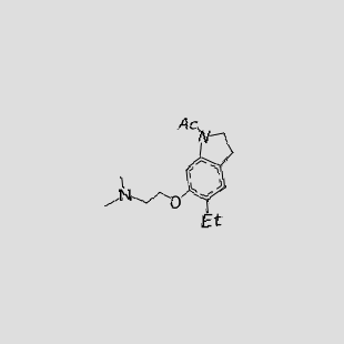 CCc1cc2c(cc1OCCN(C)C)N(C(C)=O)CC2